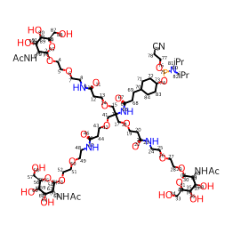 CC(=O)N[C@H]1[C@H](OCCOCCNC(=O)CCOCC(COCCC(=O)NCCOCCO[C@@H]2O[C@H](CO)[C@H](O)[C@H](O)[C@H]2NC(C)=O)(COCCC(=O)NCCOCCO[C@@H]2O[C@H](CO)[C@H](O)[C@H](O)[C@H]2NC(C)=O)NC(=O)CCC2CCC(OP(OCCC#N)N(C(C)C)C(C)C)CC2)O[C@H](CO)[C@H](O)[C@@H]1O